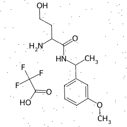 COc1cccc(C(C)NC(=O)C(N)CCO)c1.O=C(O)C(F)(F)F